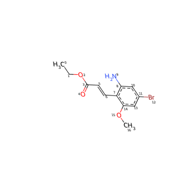 CCOC(=O)/C=C/c1c(N)cc(Br)cc1OC